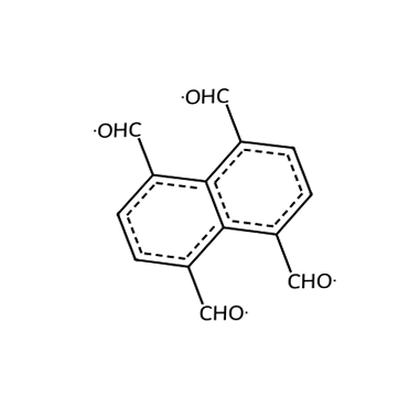 O=[C]c1ccc([C]=O)c2c([C]=O)ccc([C]=O)c12